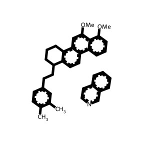 COc1cccc2c1c(OC)cc1c3c(ccc12)C(CCc1ccc(C)c(C)c1)CCC3.c1ccc2cnccc2c1